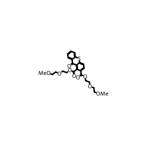 COCCOCCOC(=O)c1ccc2sc3ccccc3c(=O)c2c1C(=O)OCCOCCOC